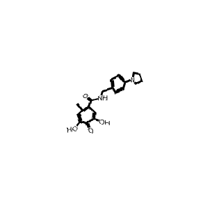 Cc1cc(O)c(=O)c(O)cc1C(=O)NCc1ccc(N2CCCC2)cc1